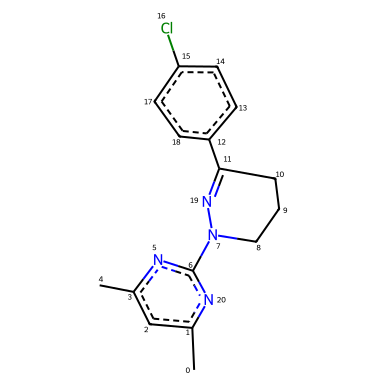 Cc1cc(C)nc(N2CCCC(c3ccc(Cl)cc3)=N2)n1